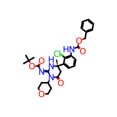 CC(C)(C)OC(=O)N=C1N[C@](C)(c2cccc(NC(=O)OCc3ccccc3)c2Cl)CC(=O)N1C1CCOCC1